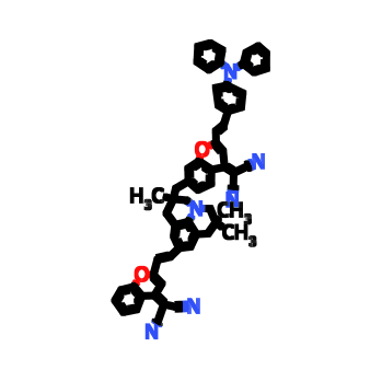 CC1(C)Cc2cc(/C=C/C3=CC(=C(C#N)C#N)c4ccccc4O3)cc3c2N(C1)CC(C)(Cc1ccc2c(c1)OC(/C=C/c1ccc(N(c4ccccc4)c4ccccc4)cc1)=CC2=C(C#N)C#N)C3